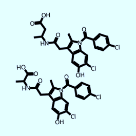 Cc1c(CC(=O)NC(C)C(=O)O)c2cc(O)c(Cl)cc2n1C(=O)c1ccc(Cl)cc1.Cc1c(CC(=O)NC(C)CC(=O)O)c2cc(O)c(Cl)cc2n1C(=O)c1ccc(Cl)cc1